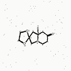 O=C1CCN2CC3(C[C@@H]2C1)OCCO3